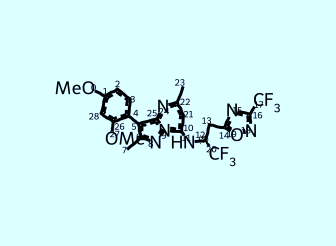 COc1ccc(-c2c(C)nn3c(N[C@@H](Cc4nc(C(F)(F)F)no4)C(F)(F)F)cc(C)nc23)c(OC)c1